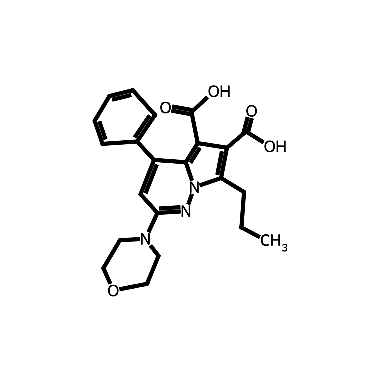 CCCc1c(C(=O)O)c(C(=O)O)c2c(-c3ccccc3)cc(N3CCOCC3)nn12